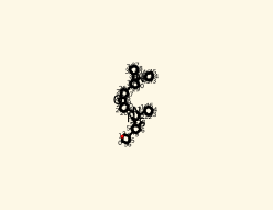 c1ccc(-c2ccc3sc4c(-c5ccccc5)nc(-c5ccc6oc7ccc(-c8ccc9c(c8)c8ccccc8n9-c8ccccc8)cc7c6c5)nc4c3c2)cc1